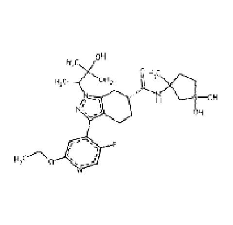 CCOc1cc(-c2nn(C(C)C(C)(C)O)c3c2CC[C@@H](C(=O)NC2(C)CCS(O)(O)C2)C3)c(F)cn1